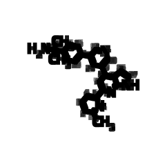 Cc1cccc(-c2cc(-c3cncc(-c4ccc(C(C)(C)N)cc4)c3)c3cc[nH]c3n2)n1